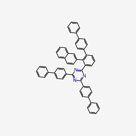 c1ccc(-c2ccc(-c3nc(-c4ccc(-c5ccccc5)cc4)nc(-c4cccc(-c5ccc(-c6ccccc6)cc5)c4-c4ccc5ccccc5c4)n3)cc2)cc1